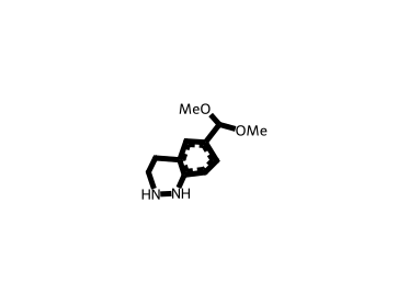 COC(OC)c1ccc2c(c1)CCNN2